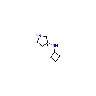 C1CC(N[C@@H]2CCNC2)C1